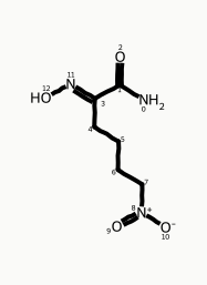 NC(=O)/C(CCCC[N+](=O)[O-])=N/O